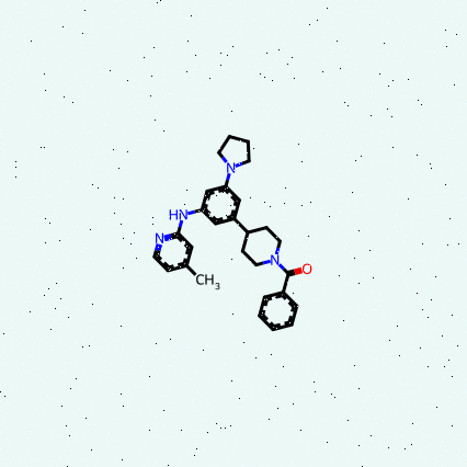 Cc1ccnc(Nc2cc(C3CCN(C(=O)c4ccccc4)CC3)cc(N3CCCC3)c2)c1